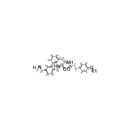 CCOc1ccc(CCC(=O)NC(Cc2ccccc2)C(=O)NCc2ccc(CN)cc2)cc1